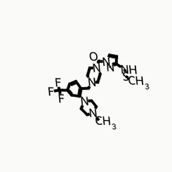 CSNc1ccn(C(=O)N2CCN(Cc3ccc(C(F)(F)F)cc3N3CCN(C)CC3)CC2)n1